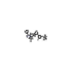 C=c1[nH]nc(-c2nc3c(-c4cc(F)cc(CNS(C)(=O)=O)c4)cncc3[nH]2)/c1=C(F)/C(=N\C)c1cncnc1